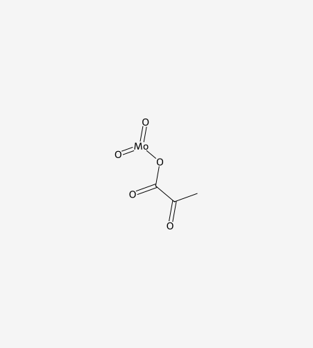 CC(=O)C(=O)[O][Mo](=[O])=[O]